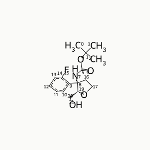 CC(C)(C)OC(=O)N[C@@]1(c2ccccc2F)CCO[C@H]1CO